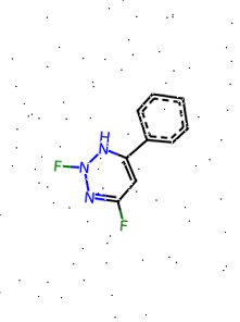 FC1=NN(F)NC(c2ccccc2)=C1